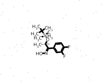 C[C@H](O[Si](C)(C)C(C)(C)C)C(=NO)c1ccc(F)c(F)c1